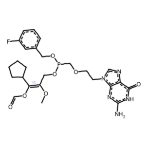 CO/C(COP(COCCn1cnc2c(=O)[nH]c(N)nc21)OCc1cccc(F)c1)=C(\OC=O)C1CCCC1